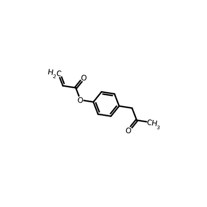 C=CC(=O)Oc1ccc(CC(C)=O)cc1